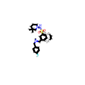 CN(Cc1ccc(F)cc1)Cc1cccc(S(=O)(=O)NN2CCCC(C)(C)C2)c1.O=C(O)/C=C\C(=O)O